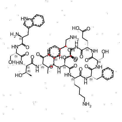 CC(C)[C@H](NC(=O)[C@@H](NC(=O)[C@H](CO)NC(=O)[C@@H](N)Cc1c[nH]c2ccccc12)[C@@H](C)O)C(=O)N[C@@H](CCCCN)C(=O)N[C@@H](CC(=O)O)C(=O)N[C@@H](CCCCN)C(=O)N[C@@H](Cc1ccccc1)C(=O)N[C@@H](CO)C(=O)N[C@@H](CCC(=O)O)C(=O)N[C@@H](Cc1ccccc1)C(=O)O